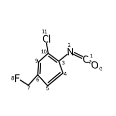 O=C=Nc1ccc(CF)cc1Cl